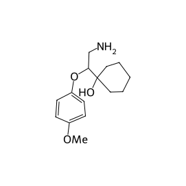 COc1ccc(OC(CN)C2(O)CCCCC2)cc1